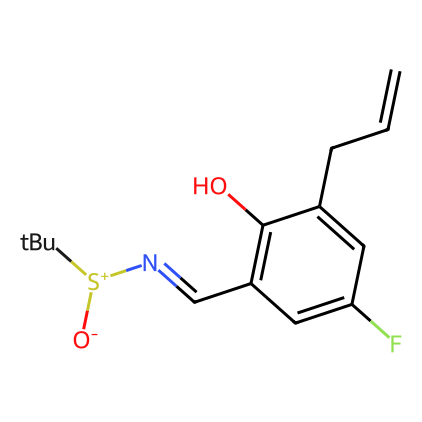 C=CCc1cc(F)cc(C=N[S+]([O-])C(C)(C)C)c1O